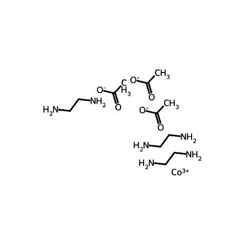 CC(=O)[O-].CC(=O)[O-].CC(=O)[O-].NCCN.NCCN.NCCN.[Co+3]